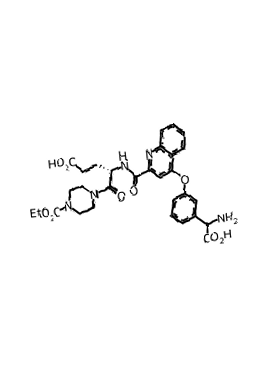 CCOC(=O)N1CCN(C(=O)[C@H](CCC(=O)O)NC(=O)c2cc(Oc3cccc(C(N)C(=O)O)c3)c3ccccc3n2)CC1